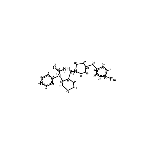 NC(=O)N(c1ccncc1)C1CCCCC1CN1CCC(Cc2ccc(F)cc2)CC1